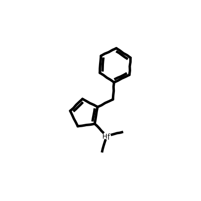 [CH3][Hf]([CH3])[C]1=C(Cc2ccccc2)C=CC1